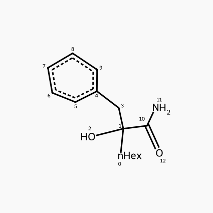 CCCCCCC(O)(Cc1ccccc1)C(N)=O